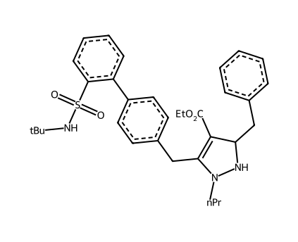 CCCN1NC(Cc2ccccc2)C(C(=O)OCC)=C1Cc1ccc(-c2ccccc2S(=O)(=O)NC(C)(C)C)cc1